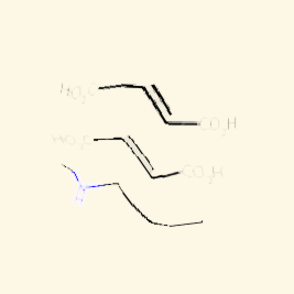 CCCNC.O=C(O)/C=C/C(=O)O.O=C(O)/C=C/C(=O)O